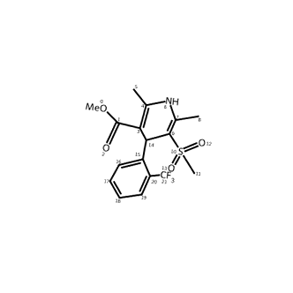 COC(=O)C1=C(C)NC(C)=C(S(C)(=O)=O)C1c1ccccc1C(F)(F)F